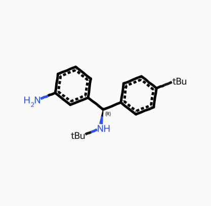 CC(C)(C)N[C@H](c1ccc(C(C)(C)C)cc1)c1cccc(N)c1